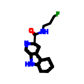 O=C(NCCCF)c1cc2c(cn1)[nH]c1ccccc12